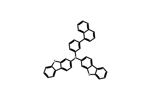 c1cc(-c2cccc3ccccc23)cc(N(c2ccc3c(c2)sc2ccccc23)c2ccc3c(c2)sc2ccccc23)c1